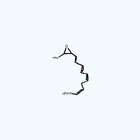 CCCCC/C=C\C\C=C/C=C/C=C/C1OC1CCCC